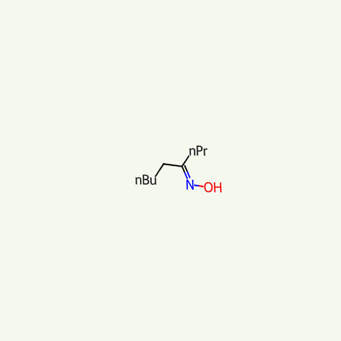 CCCCCC(CCC)=NO